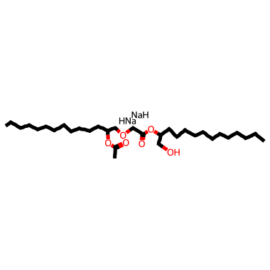 CCCCCCCCCCCCC(COCC(=O)OC(CO)CCCCCCCCCCCC)OC(C)=O.[NaH].[NaH]